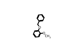 COc1c[c]ccc1OCc1ccccc1